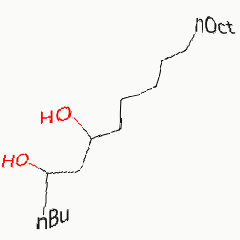 CCCCCCCCCCCCCC(O)CC(O)CCCC